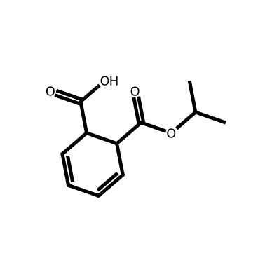 CC(C)OC(=O)C1C=CC=CC1C(=O)O